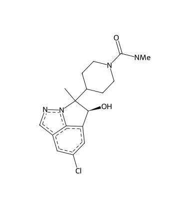 CNC(=O)N1CCC(C2(C)[C@@H](O)c3cc(Cl)cc4cnn2c34)CC1